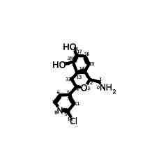 NCC1OC(c2ccnc(Cl)c2)Cc2c1ccc(O)c2O